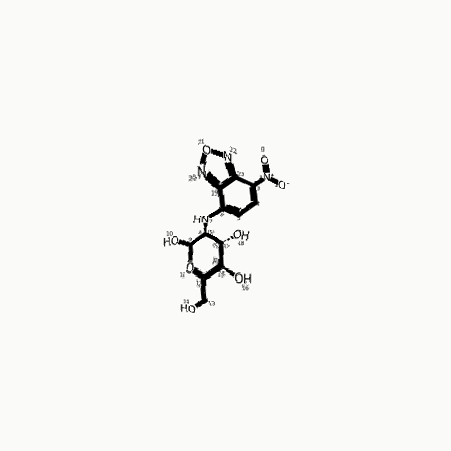 O=[N+]([O-])c1ccc(N[C@@H]2C(O)OC(CO)[C@H](O)[C@H]2O)c2nonc12